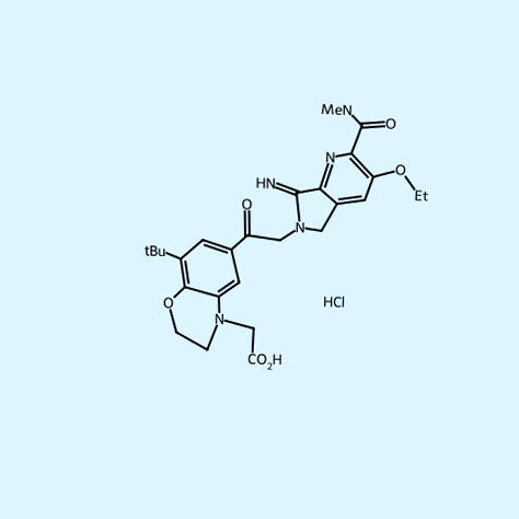 CCOc1cc2c(nc1C(=O)NC)C(=N)N(CC(=O)c1cc3c(c(C(C)(C)C)c1)OCCN3CC(=O)O)C2.Cl